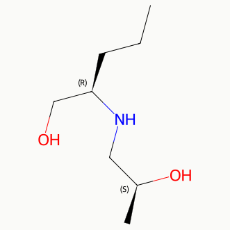 CCC[C@H](CO)NC[C@H](C)O